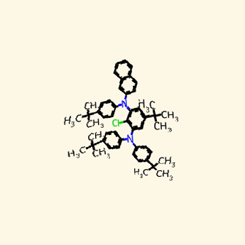 CC(C)(C)c1ccc(N(c2ccc(C(C)(C)C)cc2)c2cc(C(C)(C)C)cc(N(c3ccc(C(C)(C)C)cc3)c3ccc4ccccc4c3)c2Cl)cc1